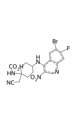 N#CCC1(NC(=O)O)CCC(Nc2c([N+](=O)[O-])cnc3cc(F)c(Br)cc23)CC1